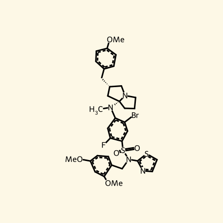 COc1ccc(C[C@@H]2CN3CCC[C@@]3(N(C)c3cc(F)c(S(=O)(=O)N(Cc4ccc(OC)cc4OC)c4nccs4)cc3Br)C2)cc1